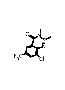 CS1=Nc2c(Cl)cc(C(F)(F)F)cc2C(=O)N1